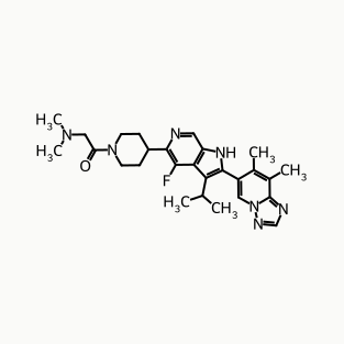 Cc1c(-c2[nH]c3cnc(C4CCN(C(=O)CN(C)C)CC4)c(F)c3c2C(C)C)cn2ncnc2c1C